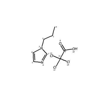 CCCn1ccnc1.O=C(O)C(Cl)(Cl)Cl